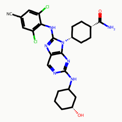 N#Cc1cc(Cl)c(Nc2nc3cnc(NC4CCC[C@@H](O)C4)nc3n2[C@H]2CC[C@@H](C(N)=O)CC2)c(Cl)c1